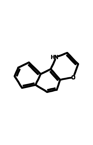 C1=COc2ccc3ccccc3c2N1